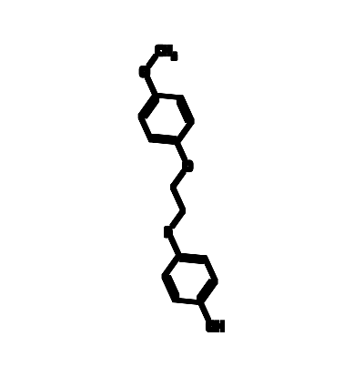 COc1ccc(OCCSc2ccc(O)cc2)cc1